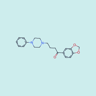 O=C(CCCN1CCN(c2ccccc2)CC1)c1ccc2c(c1)OCO2